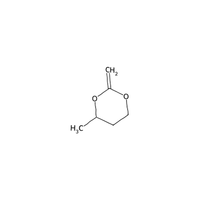 C=C1OCCC(C)O1